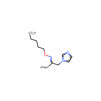 CCCCCCCC(Cn1ccnc1)=NOCCCCC(=O)O